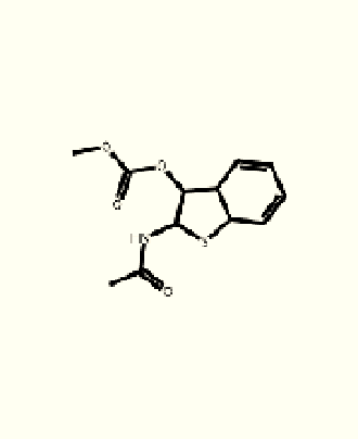 COC(=O)OC1C(NC(C)=O)SC2C=CC=CC21